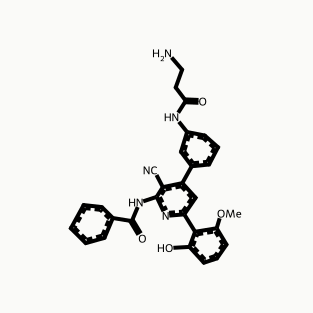 COc1cccc(O)c1-c1cc(-c2cccc(NC(=O)CCN)c2)c(C#N)c(NC(=O)c2ccccc2)n1